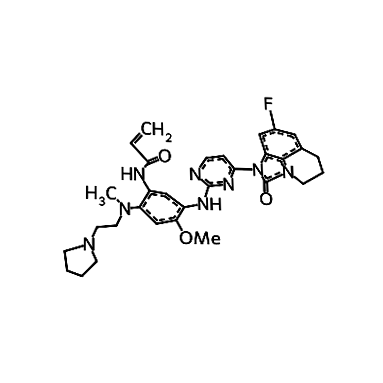 C=CC(=O)Nc1cc(Nc2nccc(-n3c(=O)n4c5c(cc(F)cc53)CCC4)n2)c(OC)cc1N(C)CCN1CCCC1